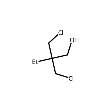 CCC(CO)(CCl)CCl